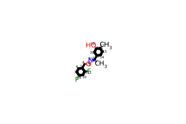 C/C(=N\OCc1ccc(F)cc1F)c1ccc(C)c(O)c1